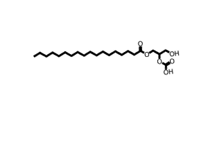 CCCCCCCCCCCCCCCCCC(=O)OCC(CO)OC(=O)O